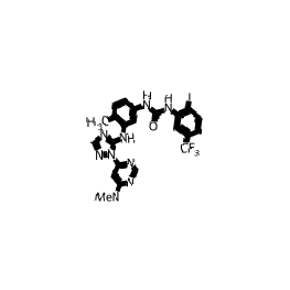 CNc1cc(-n2ncnc2Nc2cc(NC(=O)Nc3cc(C(F)(F)F)ccc3I)ccc2C)ncn1